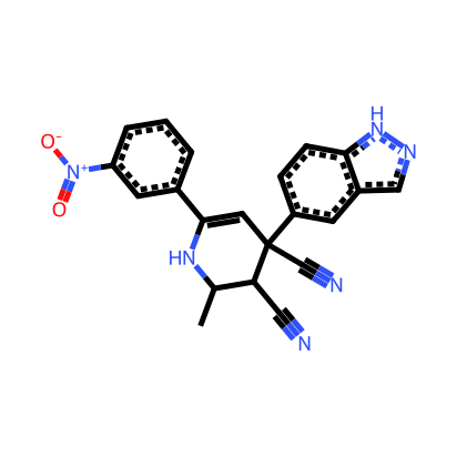 CC1NC(c2cccc([N+](=O)[O-])c2)=CC(C#N)(c2ccc3[nH]ncc3c2)C1C#N